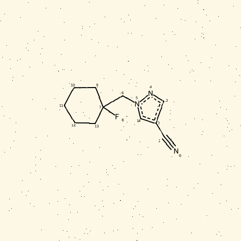 N#Cc1cnn(CC2(F)CCCCC2)c1